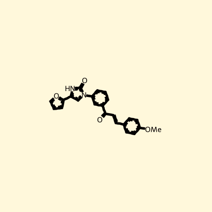 COc1ccc(C=CC(=O)c2cccc(-n3cc(-c4ccco4)[nH]c3=O)c2)cc1